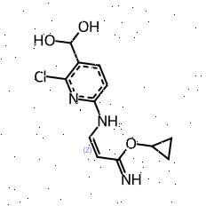 N=C(/C=C\Nc1ccc(C(O)O)c(Cl)n1)OC1CC1